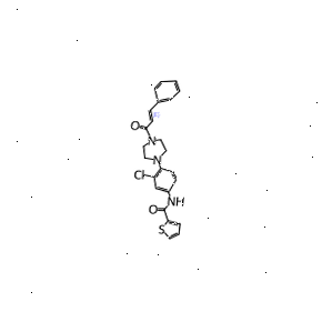 O=C(Nc1ccc(N2CCN(C(=O)/C=C/c3ccccc3)CC2)c(Cl)c1)c1cccs1